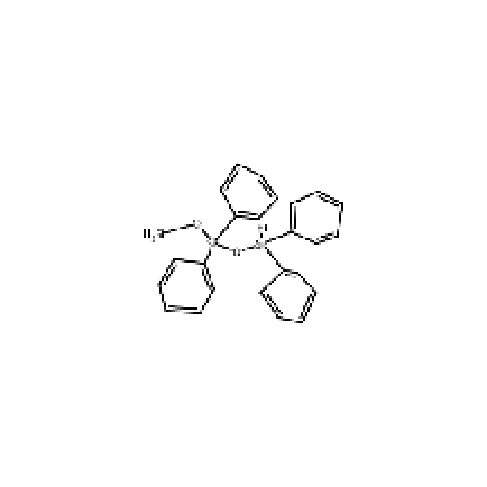 CC[Si](O[Si](O[SiH3])(c1ccccc1)c1ccccc1)(c1ccccc1)c1ccccc1